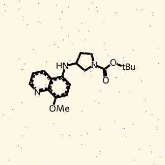 COc1ccc(NC2CCN(C(=O)OC(C)(C)C)C2)c2cccnc12